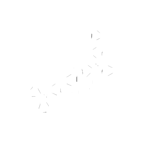 Cc1cc(N(c2ccccc2)c2ccc(-c3ccccc3)cc2)cc(C)c1-c1ccc(-c2ccc(-n3c4ccccc4c4ccccc43)cc2)c(C)c1C